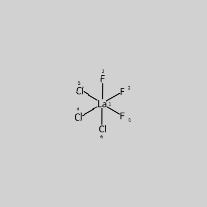 [F][La]([F])([F])([Cl])([Cl])[Cl]